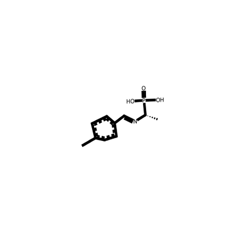 Cc1ccc(/C=N/[C@@H](C)P(=O)(O)O)cc1